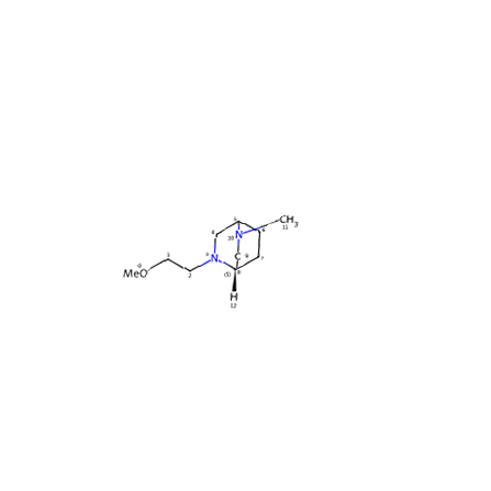 COCCN1CC2CC[C@H]1CN2C